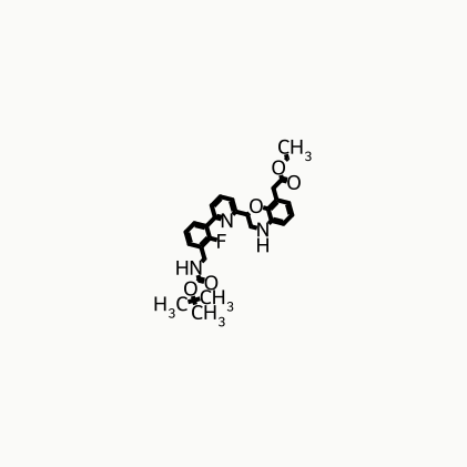 CCOC(=O)Cc1cccc2c1OC(c1cccc(-c3cccc(CNC(=O)OC(C)(C)C)c3F)n1)CN2